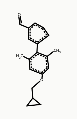 Cc1cc(OCC2CC2)cc(C)c1-c1cccc(C=O)c1